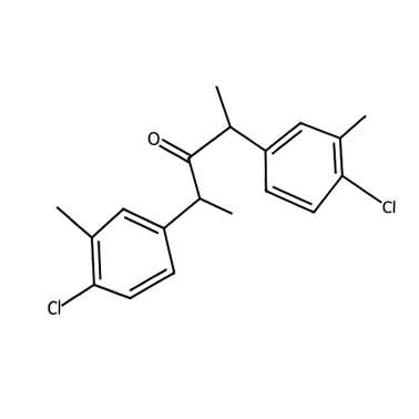 Cc1cc(C(C)C(=O)C(C)c2ccc(Cl)c(C)c2)ccc1Cl